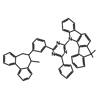 CC1c2ccccc2-c2ccccc2CC1c1cccc(-c2nc(-c3ccccc3)nc(-n3c4ccccc4c4ccc5c(c43)-c3ccccc3C5(C)C)n2)c1